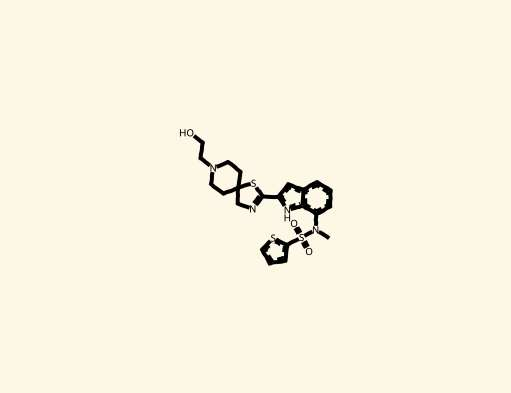 CN(c1cccc2cc(C3=NCC4(CCN(CCO)CC4)S3)[nH]c12)S(=O)(=O)c1cccs1